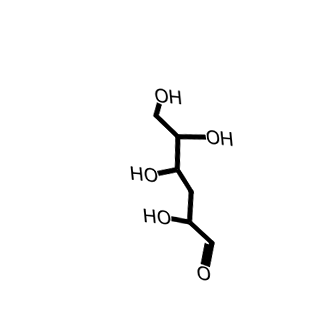 O=CC(O)CC(O)C(O)CO